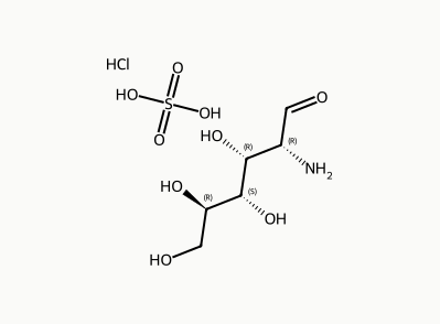 Cl.N[C@@H](C=O)[C@@H](O)[C@H](O)[C@H](O)CO.O=S(=O)(O)O